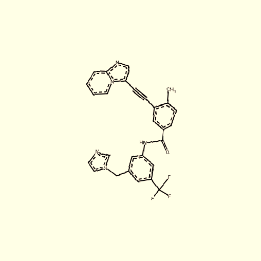 Cc1ccc(C(=O)Nc2cc(Cn3ccnc3)cc(C(F)(F)F)c2)cc1C#Cc1cnc2ccccn12